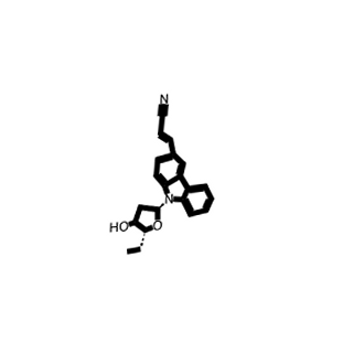 CC[C@H]1O[C@@H](n2c3ccccc3c3cc(/C=C/C#N)ccc32)CC1O